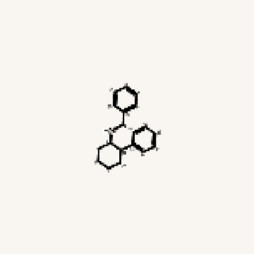 c1ccc(CNC2CCCCC2c2ccccc2)cc1